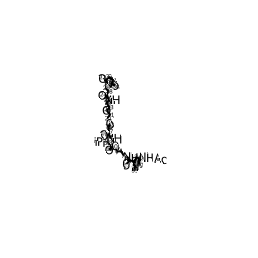 CC(=O)Nc1cc(C(=O)NCCCOC(=O)C(NC(=O)CCOCCOCCNC(=O)CCN2C(=O)C=CC2=O)C(C)C)n(C)c1